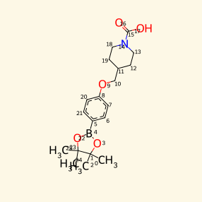 CC1(C)OB(c2ccc(OCC3CCN(C(=O)O)CC3)cc2)OC1(C)C